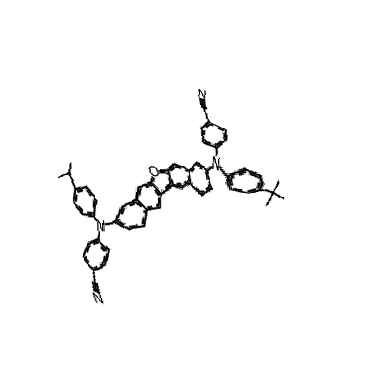 CC(C)c1ccc(N(c2ccc(C#N)cc2)c2ccc3cc4c(cc3c2)oc2cc3cc(N(c5ccc(C#N)cc5)c5ccc(C(C)(C)C)cc5)ccc3cc24)cc1